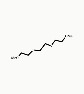 COCCSCCSCCOC